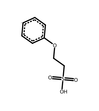 O=S(=O)(O)CCOc1cc[c]cc1